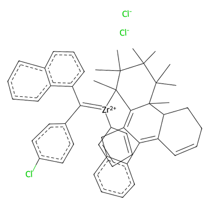 CC12C(=C3Cc4ccccc4C3=C3C=CCCC31)[C](C)([Zr+2](=[C](c1ccc(Cl)cc1)c1cccc3ccccc13)[CH]1C=CC=C1)C(C)(C)C(C)(C)C2(C)C.[Cl-].[Cl-]